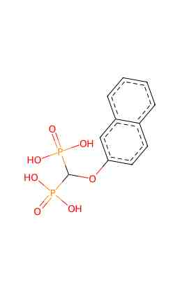 O=P(O)(O)C(Oc1ccc2ccccc2c1)P(=O)(O)O